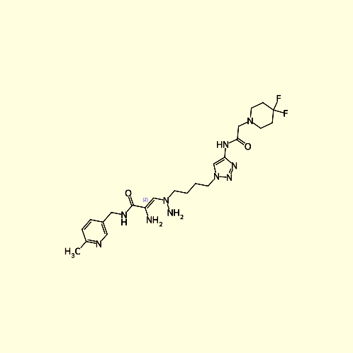 Cc1ccc(CNC(=O)/C(N)=C/N(N)CCCCn2cc(NC(=O)CN3CCC(F)(F)CC3)nn2)cn1